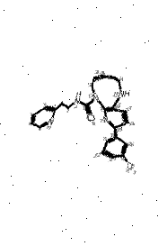 O=C(NCCc1ccccn1)N1CCCNc2ccc(-c3cccc(C(F)(F)F)c3)nc21